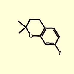 CC1(C)CCc2ccc(F)cc2O1